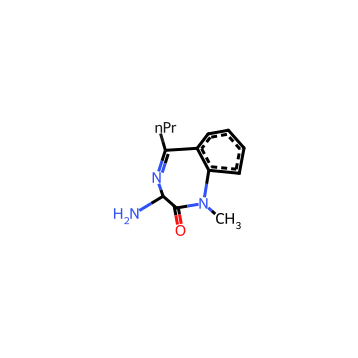 CCCC1=NC(N)C(=O)N(C)c2ccccc21